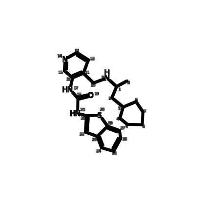 CC(CC1CCCCC1)NCc1ccncc1NC(=O)Nc1cc2ccccc2s1